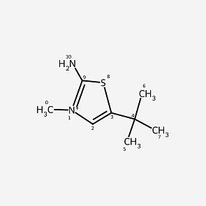 C[n+]1cc(C(C)(C)C)sc1N